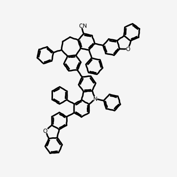 N#Cc1cc(-c2ccc3oc4ccccc4c3c2)c(-c2ccccc2)c2c1CCC(c1ccccc1)c1ccc(-c3ccc4c(c3)c3c(-c5ccccc5)c(-c5ccc6oc7ccccc7c6c5)ccc3n4-c3ccccc3)cc1-2